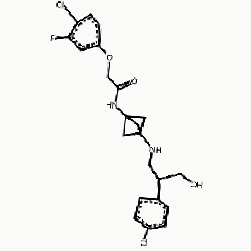 O=C(COc1ccc(Cl)c(F)c1)NC12CC(NCC(CO)c3ccc(Cl)cc3)(C1)C2